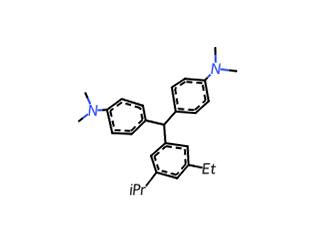 CCc1cc(C(C)C)cc(C(c2ccc(N(C)C)cc2)c2ccc(N(C)C)cc2)c1